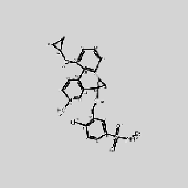 CCNS(=O)(=O)c1ccc(Cl)c(COC2(c3c[n+](O)ccc3-c3ccccc3OC3CC3)CC2)c1